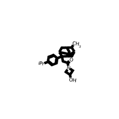 CC(C)c1ccc(C2(CC(=O)N3CC(O)C3)C3CC4CC2CC(C3)C4C)cc1